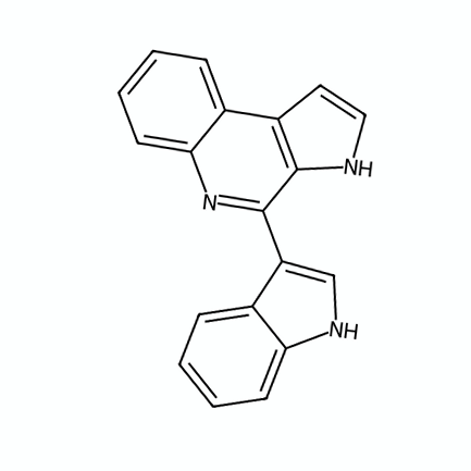 c1ccc2c(c1)nc(-c1c[nH]c3ccccc13)c1[nH]ccc12